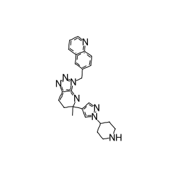 CC1(c2cnn(C3CCNCC3)c2)CC=c2nnn(Cc3ccc4ncccc4c3)c2=N1